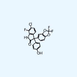 O=C1Nc2c(ccc(Cl)c2F)C1(c1ccc(O)cc1)c1ccc2c(c1)OC(F)(F)O2